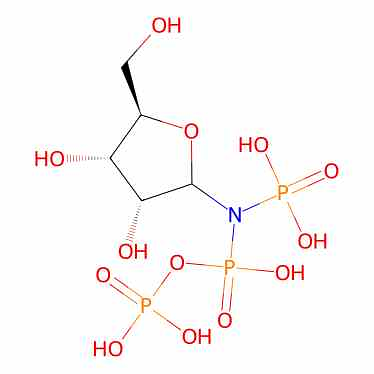 O=P(O)(O)OP(=O)(O)N(C1O[C@H](CO)[C@@H](O)[C@H]1O)P(=O)(O)O